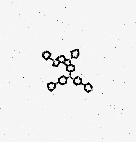 c1ccc(-c2ccc(N(c3ccc(-c4ccncc4)cc3)c3ccc4c(c3)c3c5ccn(-c6ccccc6)c5ccc3n4-c3ccccc3)cc2)cc1